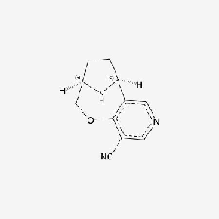 N#Cc1cncc2c1OC[C@H]1CC[C@@H]2N1